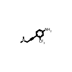 CN(C)CC#Cc1ccc(N)cc1C(F)(F)F